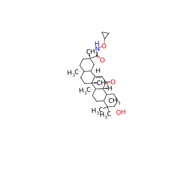 CC1(C)C2CC[C@]3(C)[C@H](C(=O)C=C4[C@@H]5C[C@@](C)(C(=O)NOC6CC6)CC[C@]5(C)CC[C@]43C)[C@@]2(C)CC[C@@H]1O